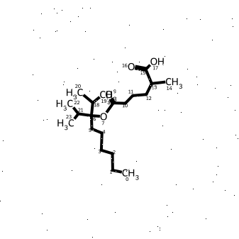 CCCCCCC(OC(=O)CCCC(C)C(=O)O)(C(C)C)C(C)C